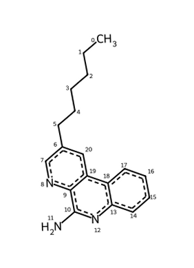 CCCCCCc1cnc2c(N)nc3ccccc3c2c1